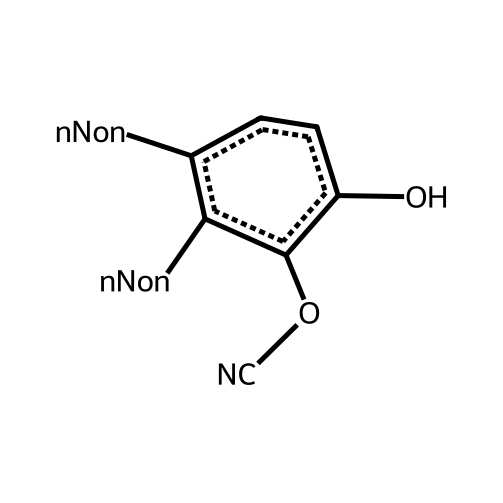 CCCCCCCCCc1ccc(O)c(OC#N)c1CCCCCCCCC